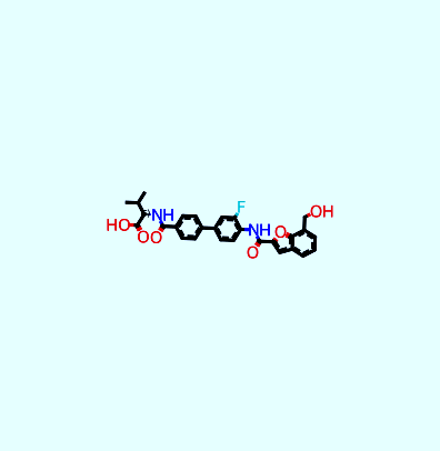 CC(C)[C@H](NC(=O)c1ccc(-c2ccc(NC(=O)c3cc4cccc(CO)c4o3)c(F)c2)cc1)C(=O)O